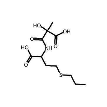 CCCSCCC(NC(=O)C(C)(O)C(=O)O)C(=O)O